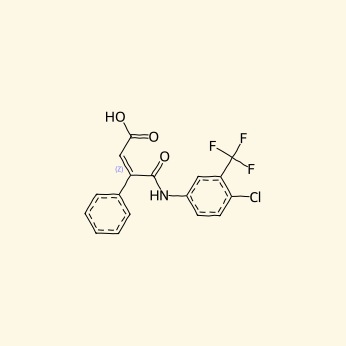 O=C(O)/C=C(\C(=O)Nc1ccc(Cl)c(C(F)(F)F)c1)c1ccccc1